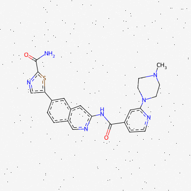 CN1CCN(c2cc(C(=O)Nc3cc4cc(-c5cnc(C(N)=O)s5)ccc4cn3)ccn2)CC1